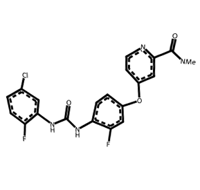 CNC(=O)c1cc(Oc2ccc(NC(=O)Nc3cc(Cl)ccc3F)c(F)c2)ccn1